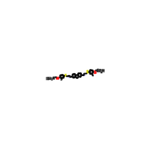 Cc1cc(SC/C=C/c2ccc3c(c2)Cc2cc(/C=C/CSc4ccc(OCC(=O)O)c(C)c4)ccc2-3)ccc1OCC(=O)O